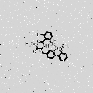 COC(=O)[C@H](Cc1ccc(-c2ccccc2OC)c(OC)c1)NC(=O)c1c(Cl)cccc1Cl